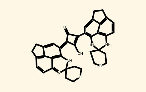 O=C1C(c2cc3c4c(ccc5c4c2NC2(CCOCC2)N5)CC3)=C(O)/C1=c1/cc2c3c(ccc4c3c1NC1(CCOCC1)N=4)CC2